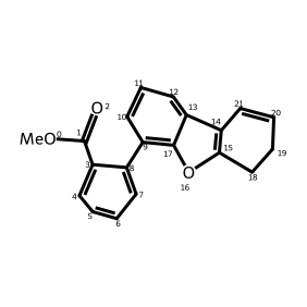 COC(=O)c1ccccc1-c1cccc2c3c(oc12)CCC=C3